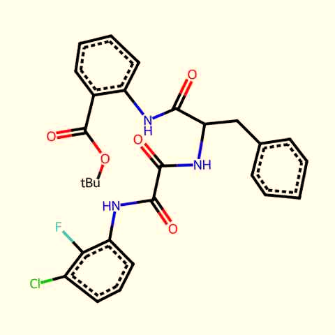 CC(C)(C)OC(=O)c1ccccc1NC(=O)C(Cc1ccccc1)NC(=O)C(=O)Nc1cccc(Cl)c1F